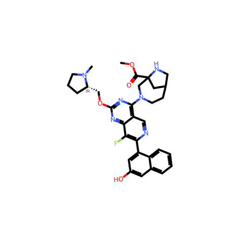 COC(=O)C12CC(CCN(c3nc(OC[C@@H]4CCCN4C)nc4c(F)c(-c5cc(O)cc6ccccc56)ncc34)C1)CN2